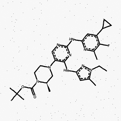 CCn1nc(Nc2nc(Nc3cc(C4CC4)c(F)c(C)n3)ncc2N2CCN(C(=O)OC(C)(C)C)[C@H](C)C2)cc1C